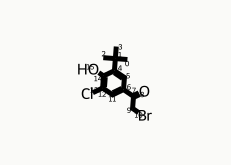 CC(C)(C)c1cc(C(=O)CBr)cc(Cl)c1O